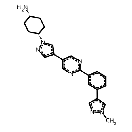 Cn1cc(-c2cccc(-c3ncc(-c4cnn([C@H]5CC[C@@H](N)CC5)c4)cn3)c2)cn1